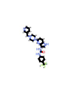 O=C(Nc1ccc(C(F)(F)F)cc1)Nc1c[nH]c2ccc(N3CCN(Cc4cccnc4)CC3)nc12